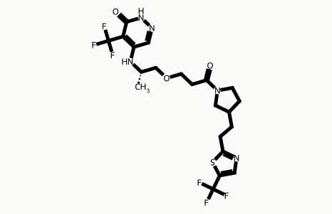 C[C@@H](COCCC(=O)N1CCC(CCc2ncc(C(F)(F)F)s2)C1)Nc1cn[nH]c(=O)c1C(F)(F)F